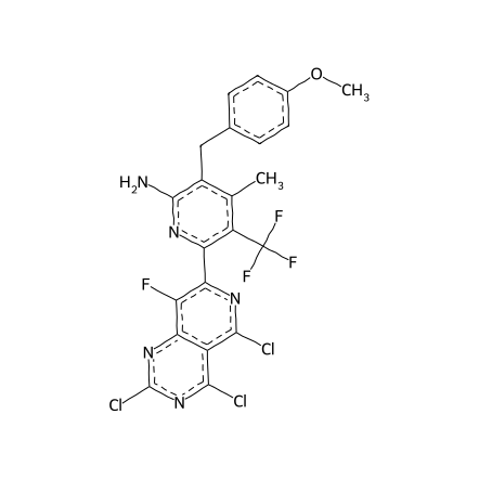 COc1ccc(Cc2c(N)nc(-c3nc(Cl)c4c(Cl)nc(Cl)nc4c3F)c(C(F)(F)F)c2C)cc1